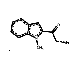 CC(C)CC(=O)c1cc2ccccc2n1C